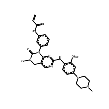 C=CC(=O)Nc1cccc(N2C(=O)N(C(C)C)Cc3cnc(Nc4ccc(N5CCN(C)CC5)cc4OC)nc32)c1